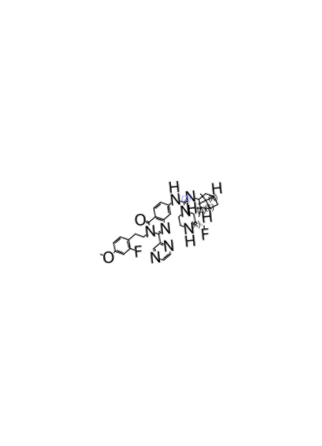 COc1ccc(CCn2c(-c3cnccn3)nc3cc(N/C(=N/C4C[C@H]5C[C@@H]([C@@H]4C)C5(C)C)N4CCN[C@@H](CF)C4)ccc3c2=O)c(F)c1